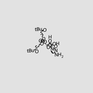 CC(C)(C)C(=O)SCCOP(=O)(OCCSC(=O)C(C)(C)C)OC[C@H]1O[C@@H](n2ccc(N)nc2=O)[C@@H](O)[C@@H]1O